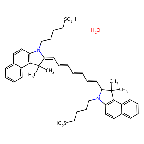 CC1(C)C(=CC=CC=CC=CC2N(CCCCS(=O)(=O)O)c3ccc4ccccc4c3C2(C)C)N(CCCCS(=O)(=O)O)c2ccc3ccccc3c21.O